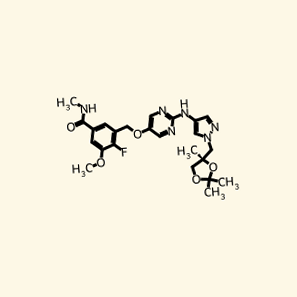 CNC(=O)c1cc(COc2cnc(Nc3cnn(C[C@@]4(C)COC(C)(C)O4)c3)nc2)c(F)c(OC)c1